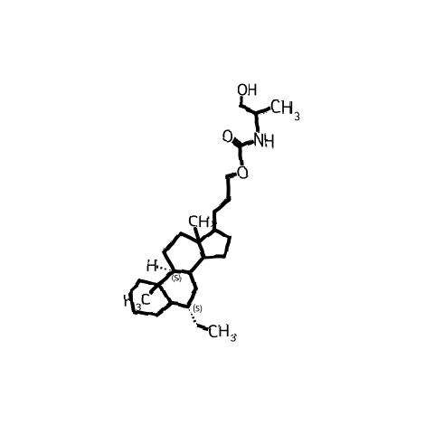 CC[C@H]1CC2C3CCC(CCCOC(=O)NC(C)CO)C3(C)CC[C@@H]2C2(C)CCCCC12